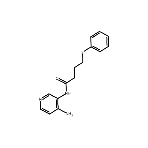 Nc1ccncc1NC(=O)CCCSc1ccccc1